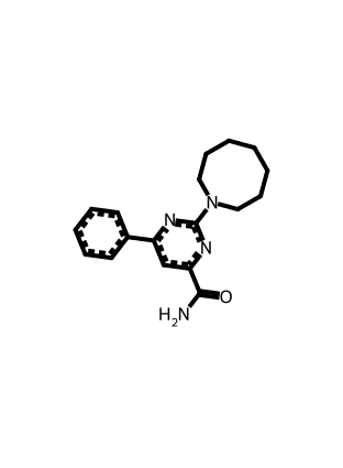 NC(=O)c1cc(-c2ccccc2)nc(N2CCCCCCC2)n1